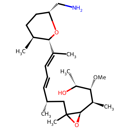 CO[C@H]([C@@H](C)[C@H]1OC1(C)C[C@H](C)/C=C/C=C(\C)[C@H]1O[C@@H](CN)CC[C@@H]1C)[C@@H](C)O